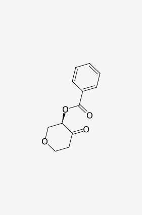 O=C(O[C@@H]1COCCC1=O)c1ccccc1